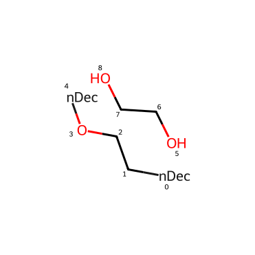 CCCCCCCCCCCCOCCCCCCCCCC.OCCO